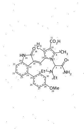 CCN(CC)C(C(N)=O)n1c(C)c(C(=O)O)c(C)c1C=C1C(=O)Nc2cccc(-c3ccc(OC)cc3)c21